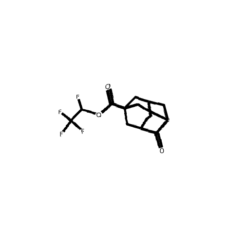 O=C1C2CC3CC1CC(C(=O)OC(F)C(F)(F)F)(C3)C2